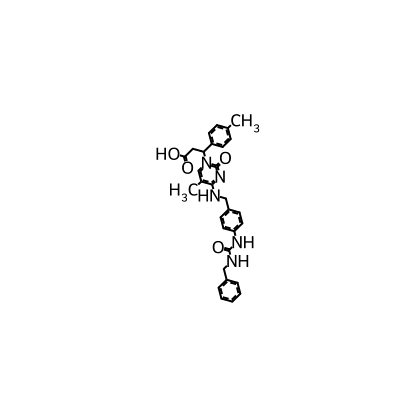 Cc1ccc(C(CC(=O)O)n2cc(C)c(NCc3ccc(NC(=O)NCc4ccccc4)cc3)nc2=O)cc1